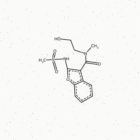 CN(CCO)C(=O)c1c(NS(C)(=O)=O)oc2ccccc12